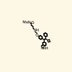 CNC(=O)/C=C/CNCCOc1ccc(/C(=C(\c2ccccc2)C2CCC2)c2ccc3[nH]ncc3c2)cc1